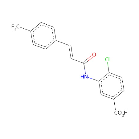 O=C(C=Cc1ccc(C(F)(F)F)cc1)Nc1cc(C(=O)O)ccc1Cl